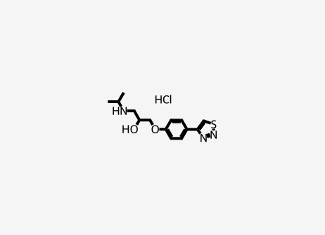 CC(C)NCC(O)COc1ccc(-c2csnn2)cc1.Cl